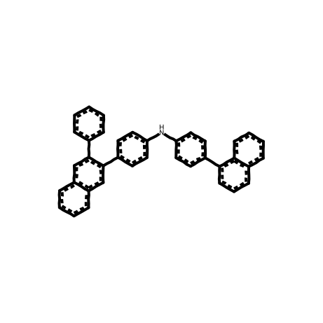 c1ccc(-c2cc3ccccc3cc2-c2ccc(Nc3ccc(-c4cccc5ccccc45)cc3)cc2)cc1